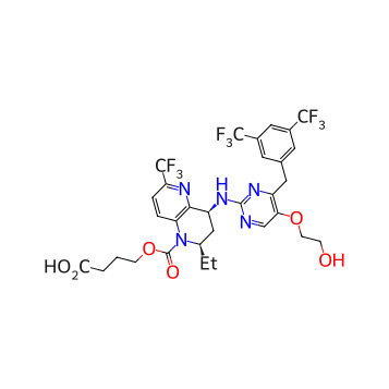 CC[C@@H]1C[C@H](Nc2ncc(OCCO)c(Cc3cc(C(F)(F)F)cc(C(F)(F)F)c3)n2)c2nc(C(F)(F)F)ccc2N1C(=O)OCCCC(=O)O